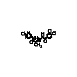 CC(C(=O)Nc1cnc(Cl)nc1)C12CC(NC(=O)c3ccc(Cl)c(Cl)c3)(C1)C2